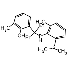 CCC(CC)(Pc1c(C)cccc1P(C)C)c1cccc(C)c1O